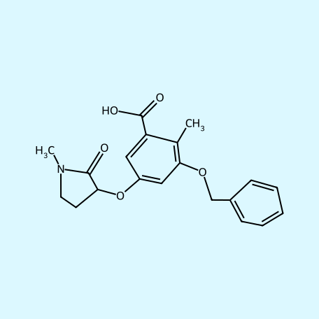 Cc1c(OCc2ccccc2)cc(OC2CCN(C)C2=O)cc1C(=O)O